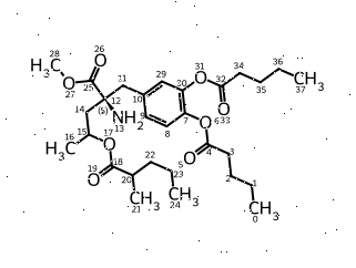 CCCCC(=O)Oc1ccc(C[C@](N)(CC(C)OC(=O)C(C)CCC)C(=O)OC)cc1OC(=O)CCCC